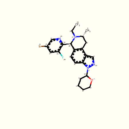 C[C@@H]1Cc2c(ccc3c2cnn3C2CCCCO2)[C@@H](c2ncc(Br)cc2F)N1CC(F)(F)F